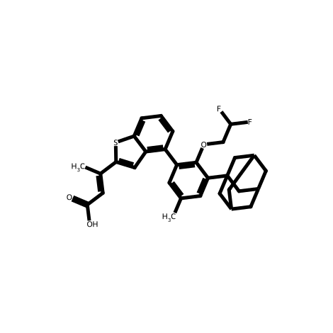 CC(=CC(=O)O)c1cc2c(-c3cc(C)cc(C45CC6CC(CC(C6)C4)C5)c3OCC(F)F)cccc2s1